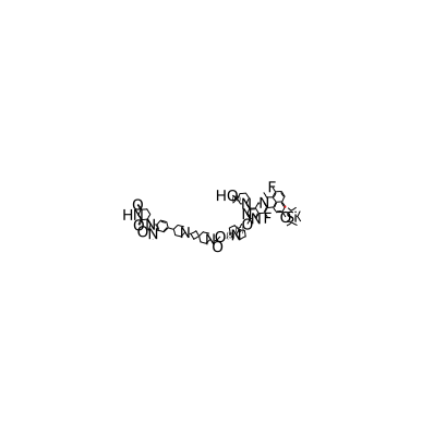 CCc1c(F)ccc2cc(O[Si](C(C)C)(C(C)C)C(C)C)cc(-c3ncc4c(N5CCC[C@@](C)(O)C5)nc(OC[C@@]56CCCN5[C@H](COC(=O)N5CCC7(CC5)CC(N5CCC(c8ccc9c(c8)n(C)c(=O)n9C8CCC(=O)NC8=O)CC5)C7)CC6)nc4c3F)c12